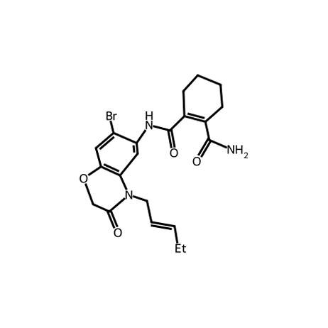 CC/C=C/CN1C(=O)COc2cc(Br)c(NC(=O)C3=C(C(N)=O)CCCC3)cc21